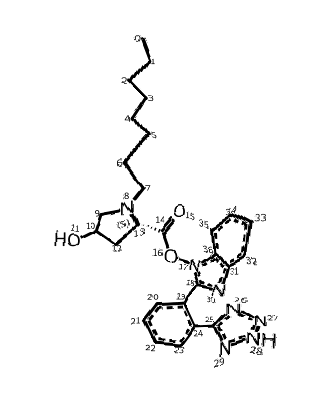 CCCCCCCCN1CC(O)C[C@H]1C(=O)On1c(-c2ccccc2-c2nn[nH]n2)nc2ccccc21